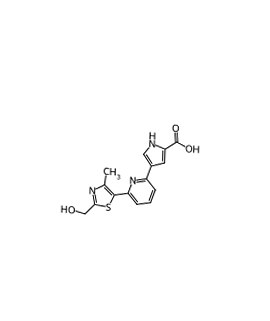 Cc1nc(CO)sc1-c1cccc(-c2c[nH]c(C(=O)O)c2)n1